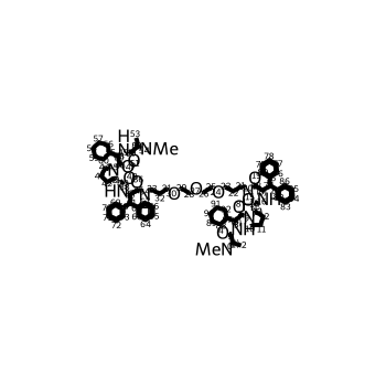 CN[C@@H](C)C(=O)N[C@H](C(=O)N1CCC[C@H]1C(=O)N[C@H](C(=O)NCCCOCCOCCOCCCNC(=O)[C@@H](NC(=O)[C@@H]1CCCN1C(=O)[C@@H](NC(=O)[C@@H](C)NC)C1CCCCC1)C(c1ccccc1)c1ccccc1)C(c1ccccc1)c1ccccc1)C1CCCCC1